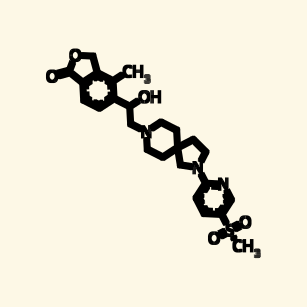 Cc1c(C(O)CN2CCC3(CC2)CCN(c2ccc(S(C)(=O)=O)cn2)C3)ccc2c1COC2=O